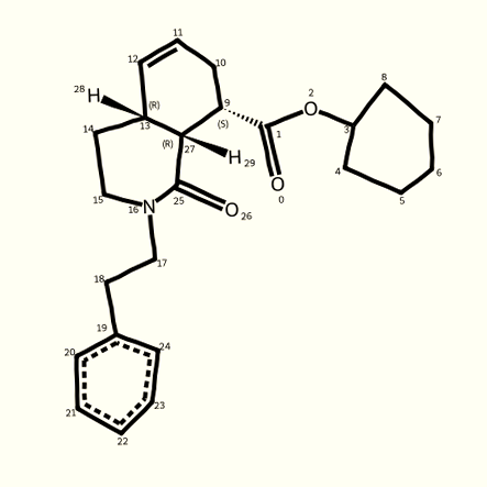 O=C(OC1CCCCC1)[C@H]1CC=C[C@H]2CCN(CCc3ccccc3)C(=O)[C@@H]12